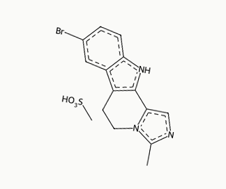 CS(=O)(=O)O.Cc1ncc2n1CCc1c-2[nH]c2ccc(Br)cc12